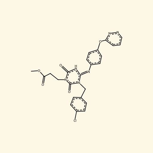 COC(=O)CCn1c(=O)[nH]/c(=N\c2ccc(Oc3cccnn3)cc2)n(Cc2ccc(Cl)cc2)c1=O